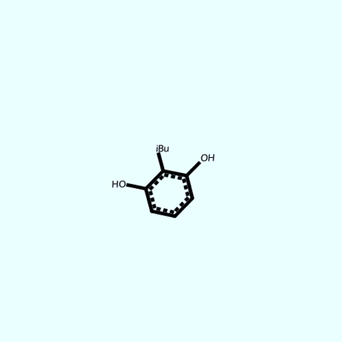 CCC(C)c1c(O)cccc1O